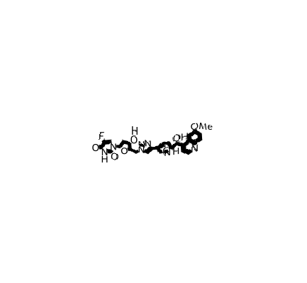 COc1ccc2nccc([C@@H](O)[C@@H]3CC4CC[N@]3CC4c3cn(CC4OC(n5cc(F)c(=O)[nH]c5=O)CC4O)nn3)c2c1